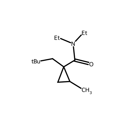 CCN(CC)C(=O)C1(CC(C)(C)C)CC1C